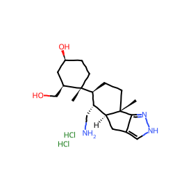 C[C@]1([C@H]2CC[C@]3(C)c4n[nH]cc4C[C@H]3[C@@H]2CN)CC[C@H](O)C[C@@H]1CO.Cl.Cl